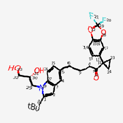 CC(C)(C)c1cc2cc(CCCC(=O)C3(c4ccc5c(c4)OC(F)(F)O5)CC3)ccc2n1C[C@@H](O)CO